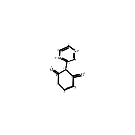 O=C1CCCC(=O)C1c1cnccn1